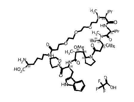 CC[C@H](C)[C@@H]([C@@H](CC(=O)N1CCC[C@H]1[C@H](OC)[C@@H](C)C(=O)N[C@@H](Cc1c[nH]c2ccccc12)C(=O)N1CCCCO1)OC)N(C)C(=O)[C@@H](NC(=O)[C@H](C(C)C)N(C)CCOCCOCCOCCC(=O)NCCCC[C@H](N)C(=O)O)C(C)C.O=C(O)C(F)(F)F